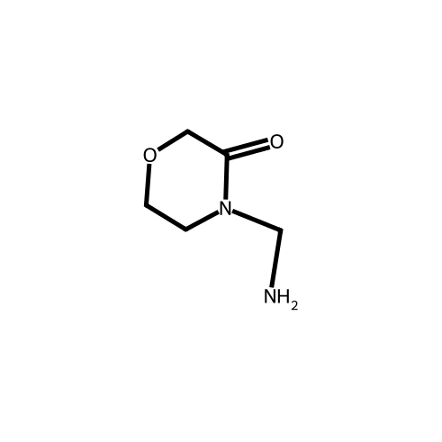 NCN1CCOCC1=O